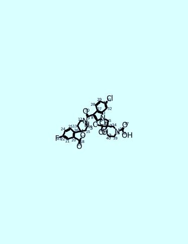 CC(C)(C)C1(Cn2cc(C(=O)N3CCC4(CC3)OC(=O)c3cc(F)ccc34)c3ccc(Cl)cc32)CN(C(=O)O)CCO1